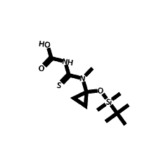 CN(C(=S)NC(=O)O)C1(O[Si](C)(C)C(C)(C)C)CC1